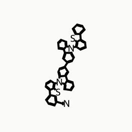 N#Cc1cccc2c1sc1c(-n3c4ccccc4c4cc(-c5ccc6c(c5)c5ccccc5n6-c5cccc6c5sc5ccccc56)ccc43)cccc12